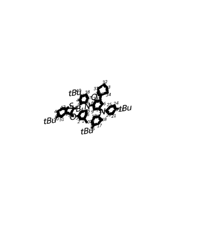 Cc1cc2c3c(c1)N(c1cc(N(c4ccc(C(C)(C)C)cc4)c4ccc(C(C)(C)C)cc4)cc4c1oc1ccccc14)c1ccc(C(C)(C)C)cc1B3c1sc3ccc(C(C)(C)C)cc3c1O2